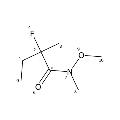 CCC(C)(F)C(=O)N(C)OC